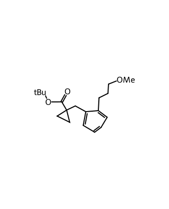 COCCCc1ccccc1CC1(C(=O)OC(C)(C)C)CC1